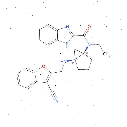 CCN(C(=O)c1nc2ccccc2[nH]1)[C@@]12CCC[C@]1(NCc1oc3ccccc3c1C#N)C2